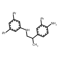 CC(C)c1cc(NCC(C)c2ccc(N)c(C(C)C)c2)cc(C(C)C)c1